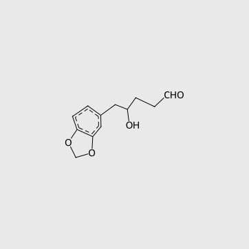 O=CCCC(O)Cc1ccc2c(c1)OCO2